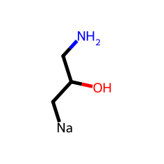 NCC(O)[CH2][Na]